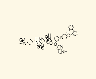 CCc1ccccc1[C@H]1CCCN1C1CC2(CCN(c3ccc(C(=O)NS(=O)(=O)c4cnc(NCC5CCC(N=S(=O)(CC)CC)CC5)c([N+](=O)[O-])c4)c(Oc4cnc5[nH]ccc5c4)c3)CC2)C1